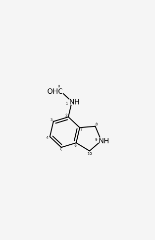 O=CNc1cccc2c1CNC2